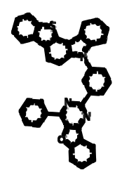 c1ccc(-c2nc(-c3cccc(-n4c5ccccc5c5c6sc7ccccc7c6ccc54)c3)nc3c2oc2ccccc23)cc1